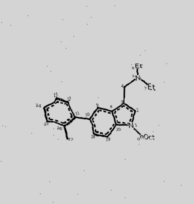 CCCCCCCCn1cc(CN(CC)CC)c2cc(-c3ccccc3C)ccc21